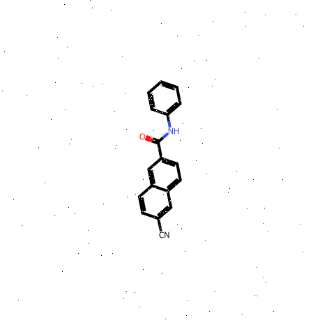 N#Cc1ccc2cc(C(=O)Nc3ccccc3)ccc2c1